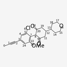 CC#Cc1cc(Cl)c(C2C(=O)CC(C3CCOCC3)CC2=O)c(OC)c1